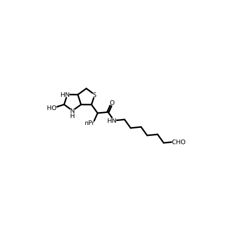 CCCC(C(=O)NCCCCCCC=O)C1SCC2NC(O)NC21